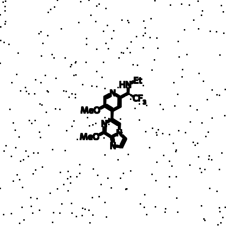 CCN[C@@H](c1cc(-c2cn3ccnc3c(OC)n2)c(OC)cn1)C(F)(F)F